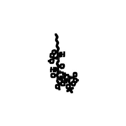 CCCCCCC(=O)N[C@H](CCC(=O)N[C@H](CSC[C@H](NC(=O)OC(C)(C)C)C(=O)OC)C(=O)NCC(=O)OC)C(=O)OC